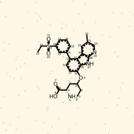 CCC(C[C@H](N)C(=O)O)Oc1ccc(-c2cccc(S(=O)(=O)CC)c2)c2c1[nH]c1ncc(C)cc12